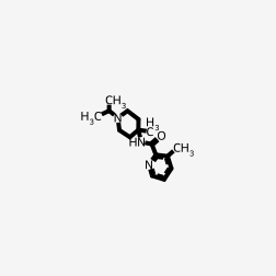 Cc1cccnc1C(=O)NC1(C)CCN(C(C)C)CC1